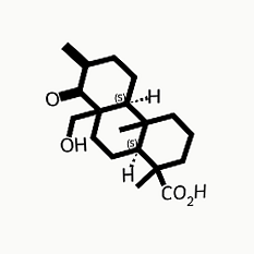 C=C1CC[C@@H]2C(CO)(CC[C@@H]3C(C)(C(=O)O)CCCC32C)C1=O